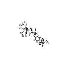 O=S(=O)(NC1CC1)c1ccc(CNC2NCNC(N3CCC[C@@H]3c3ccc(C(F)(F)F)cc3)C2F)cc1